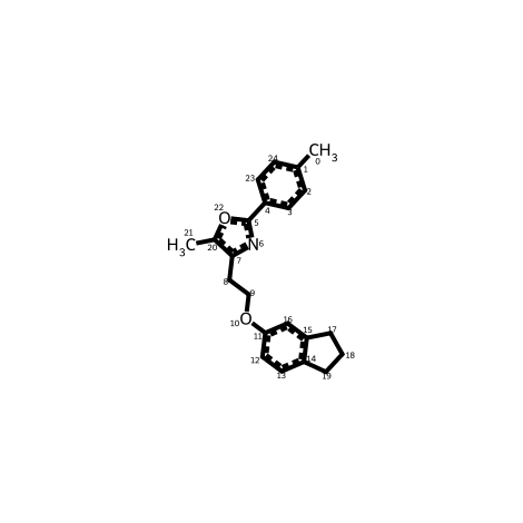 Cc1ccc(-c2nc(CCOc3ccc4c(c3)CCC4)c(C)o2)cc1